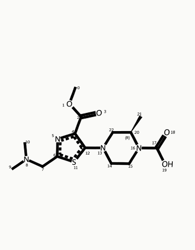 COC(=O)c1nc(CN(C)C)sc1N1CCN(C(=O)O)[C@H](C)C1